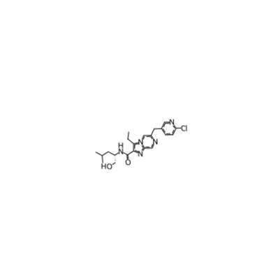 CCc1c(C(=O)N[C@H](CO)CC(C)C)nc2cnc(Cc3ccc(Cl)nc3)cn12